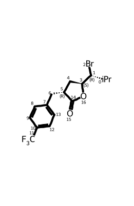 CC(C)[C@@H](Br)[C@@H]1C[C@@H](Cc2ccc(C(F)(F)F)cc2)C(=O)O1